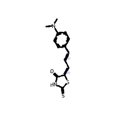 CN(C)c1ccc(/C=C/C=C2/SC(=S)NC2=O)cc1